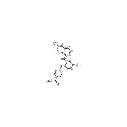 CNC(=O)c1ccc(Sc2ccc(C)cc2Nc2ccnc3nc(C)ccc23)cc1